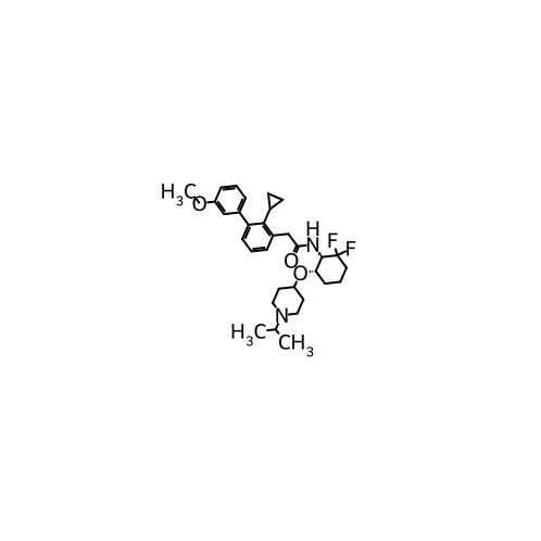 COc1cccc(-c2cccc(CC(=O)N[C@@H]3[C@@H](OC4CCN(C(C)C)CC4)CCCC3(F)F)c2C2CC2)c1